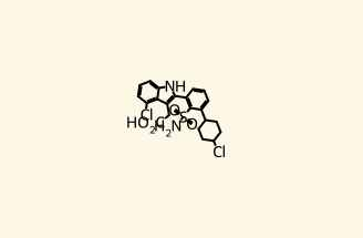 NS(=O)(=O)c1c(-c2[nH]c3cccc(Cl)c3c2CC(=O)O)cccc1C1CCC(Cl)CC1